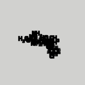 COc1nc(N)nc2c1ncn2[C@H]1C=C[C@@H](COP(=O)(NC(C)C(=O)O)Oc2ccc(Cl)c3ccccc23)C1